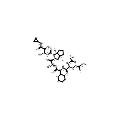 CCC[C@H](NC(=O)[C@@H]1[C@H]2CCC[C@H]2CN1C(=O)[C@@H](NC(=O)[C@@H](NC(=O)[C@H](CNC(=O)OC)NC(=O)OC)C1CCCCC1)C(C)(C)C)C(O)C(=O)NC1CC1